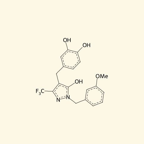 COc1cccc(Cn2nc(C(F)(F)F)c(Cc3ccc(O)c(O)c3)c2O)c1